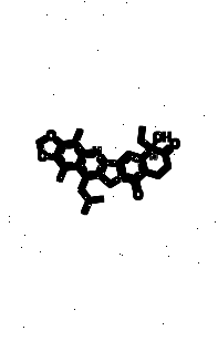 CC[C@@]1(O)C(=O)CCc2c1cc1n(c2=O)Cc2c-1nc1c(C)c3c(c(C)c1c2CC(C)C)OCO3